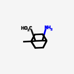 CC12CCC(CC1)C(N)C2C(=O)O